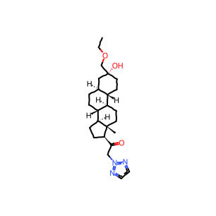 CCOC[C@@]1(O)CC[C@H]2[C@@H](CC[C@@H]3[C@@H]2CC[C@]2(C)[C@@H](C(=O)Cn4nccn4)CC[C@@H]32)C1